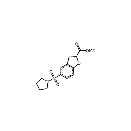 COC(=O)[C@@H]1Cc2cc(S(=O)(=O)N3CCCC3)ccc2O1